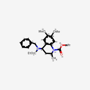 CCOC(=O)N(Cc1ccccc1)C1CC(C)N(C(=O)OC(C)C)c2cc(OC)c(OC)cc21